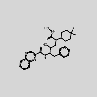 O=C(NC(Cc1ccccc1)C(O)CC(C(=O)NO)C1CCC(F)(F)CC1)c1cnc2ccccc2n1